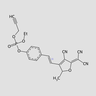 C#CCOP(=O)(OCC)Oc1ccc(/C=C/C2=C(C#N)C(=C(C#N)C#N)OC2C)cc1